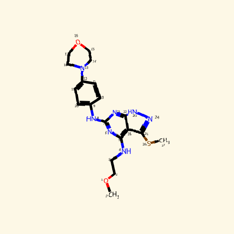 COCCNc1nc(Nc2ccc(N3CCOCC3)cc2)nc2[nH]nc(SC)c12